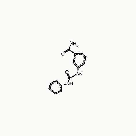 NC(=O)c1cccc(NC(=O)Nc2ccccc2)c1